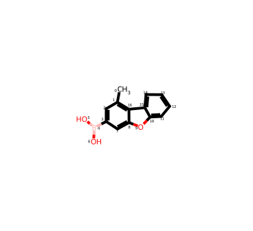 Cc1cc(B(O)O)cc2oc3ccccc3c12